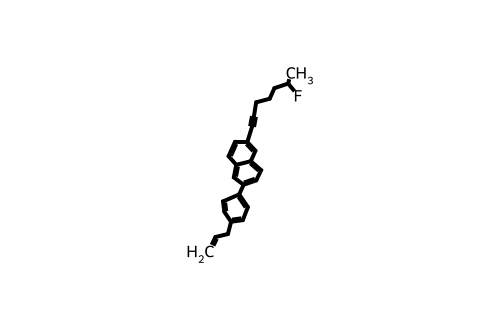 C=CCc1ccc(-c2ccc3cc(C#CCCCC(C)F)ccc3c2)cc1